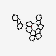 c1ccc(-c2ccccc2-n2c3ccccc3c3ccc4c5ccccc5n(-c5ccc(-c6cccc7c6sc6ccccc67)cc5)c4c32)cc1